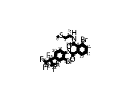 CSC[C@H](C)NC(=O)c1c(Br)cccc1C(=O)Nc1ccc(C(F)(C(F)F)C(F)(F)F)cc1Br